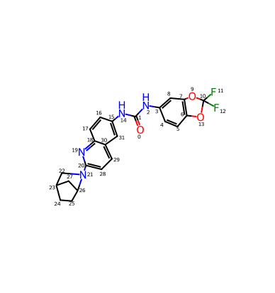 O=C(Nc1ccc2c(c1)OC(F)(F)O2)Nc1ccc2nc(N3CC4CCC3C4)ccc2c1